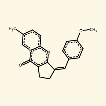 COc1ccc(/C=C2/CCc3c2nc2ccc(C)cn2c3=O)cc1